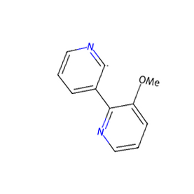 COc1cccnc1-c1[c]nccc1